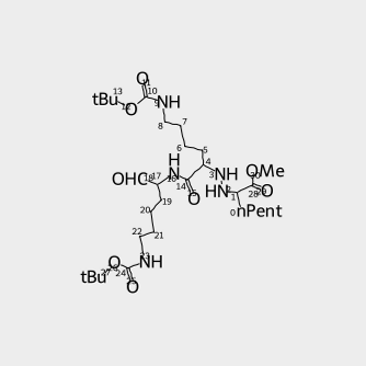 CCCCCC(NNC(CCCCNC(=O)OC(C)(C)C)C(=O)NC(C=O)CCCCNC(=O)OC(C)(C)C)C(=O)OC